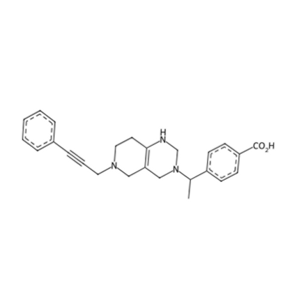 CC(c1ccc(C(=O)O)cc1)N1CNC2=C(CN(CC#Cc3ccccc3)CC2)C1